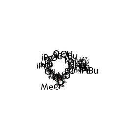 CC[C@H](C)[C@H]1NC(=O)[C@@H](NC(=O)[C@@H](CC(C)C)N2CC[C@]3(CCCN3C(=O)OC(C)(C)C)C2=O)[C@@H](C)OC(=O)[C@H](Cc2ccc(OC)cc2)N(C)C(=O)[C@@H]2CCCN2C(=O)[C@H](CC(C)C)NC(=O)[C@H](C(C)C)OC(=O)C[C@@H]1O